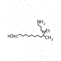 CCCCCCCCCCCCCCCCCCC(C)N(CC)CCCN